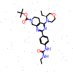 CCNC(=O)Nc1ccc(-c2nc3c(c(N4CCOC[C@@H]4CC)n2)CCN(C(=O)OC(C)(C)C)C3)cc1